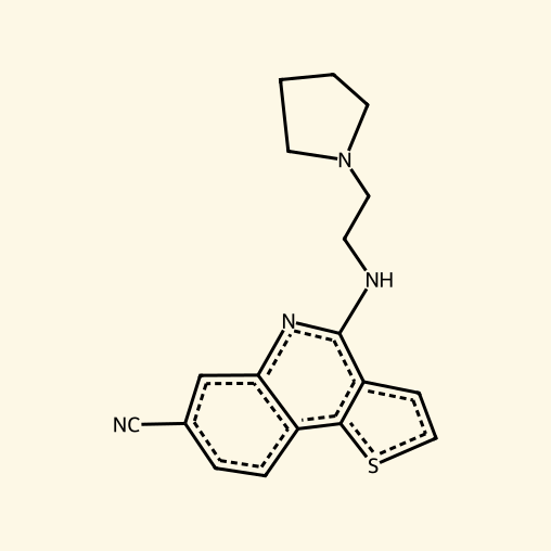 N#Cc1ccc2c(c1)nc(NCCN1CCCC1)c1ccsc12